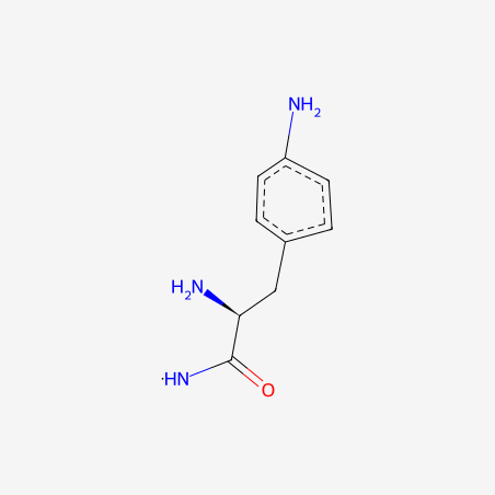 [NH]C(=O)[C@@H](N)Cc1ccc(N)cc1